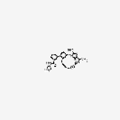 Nc1nc2nc3c1nc(O)n3Cc1ccc(-c3cccc(C(=O)NC4CNC4)c3)c(c1)C/C=C\CCO2